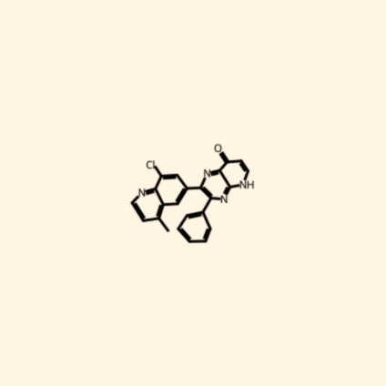 Cc1ccnc2c(Cl)cc(-c3nc4c(=O)cc[nH]c4nc3-c3ccccc3)cc12